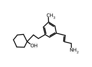 Cc1cc(C=CCN)cc(CCC2(O)CCCCC2)c1